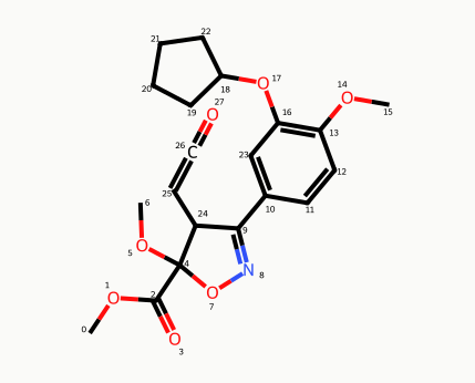 COC(=O)C1(OC)ON=C(c2ccc(OC)c(OC3CCCC3)c2)C1C=C=O